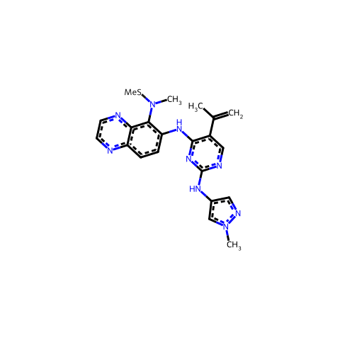 C=C(C)c1cnc(Nc2cnn(C)c2)nc1Nc1ccc2nccnc2c1N(C)SC